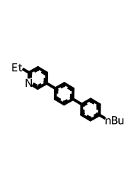 CCCCc1ccc(-c2ccc(-c3ccc(CC)nc3)cc2)cc1